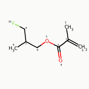 C=C(C)C(=O)OCC(C)CF